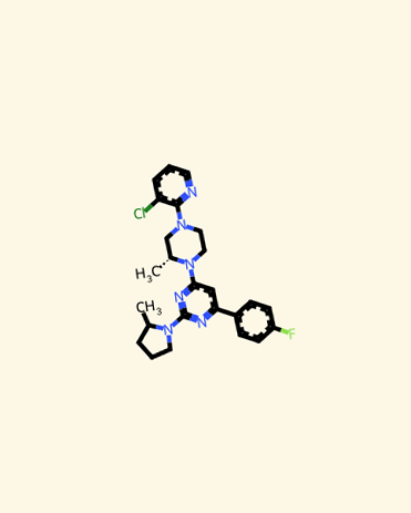 CC1CCCN1c1nc(-c2ccc(F)cc2)cc(N2CCN(c3ncccc3Cl)C[C@H]2C)n1